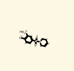 O=C(O)c1cc(S(=O)(=O)N2CC=CCC2)ccc1Cl